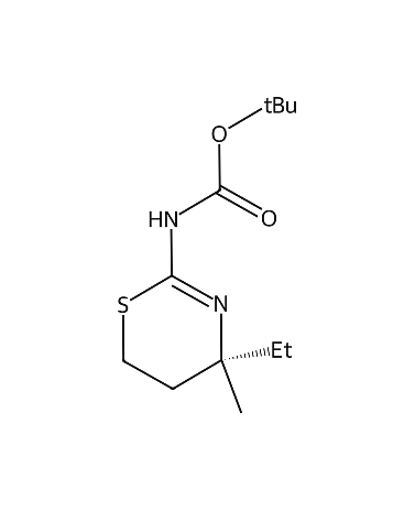 CC[C@]1(C)CCSC(NC(=O)OC(C)(C)C)=N1